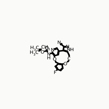 CC(C)(C)OC(=O)Nc1ncc2cc1OCc1cc(F)ccc1OCCCc1[nH]nc(C#N)c1-2